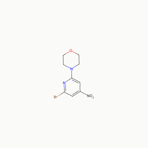 O=[N+]([O-])c1cc(Br)nc(N2CCOCC2)c1